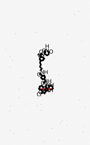 Cn1c(=O)n(C2CCC(=O)NC2=O)c2ccc(CCCCCNC(=O)c3ccc(NC(=O)[C@@H]4NC5(CCCCC5)[C@@]5(C(=O)Nc6cc(Cl)ccc65)[C@H]4c4cccc(Cl)c4F)cc3)cc21